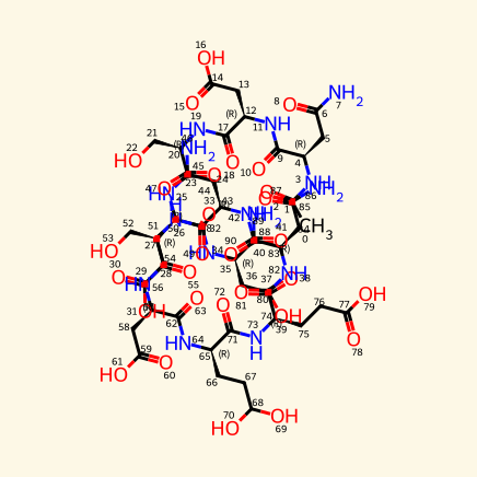 CC(=O)N[C@H](CC(N)=O)C(=O)N[C@H](CC(=O)O)C(=O)N[C@H](CO)C(=O)N[C@H](CCC(=O)O)C(=O)N[C@H](CC(=O)O)C(=O)N[C@H](CC(N)=O)C(=O)N[C@H](CO)C(=O)N[C@H](CC(=O)O)C(=O)N[C@H](CCC(O)O)C(=O)N[C@H](CCC(=O)O)C(=O)N[C@H](CC(N)=O)C(N)=O